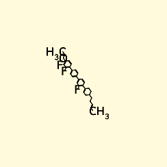 C/C=C/CCC1CC=C(c2ccc(-c3ccc(-c4ccc(OCC)c(F)c4F)cc3)cc2F)CC1